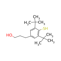 CC(C)(C)c1cc(CCCO)cc(C(C)(C)C)c1S